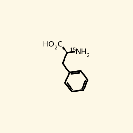 [15NH2][C@@H](Cc1ccccc1)C(=O)O